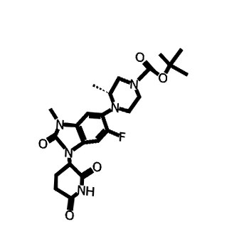 C[C@@H]1CN(C(=O)OC(C)(C)C)CCN1c1cc2c(cc1F)n(C1CCC(=O)NC1=O)c(=O)n2C